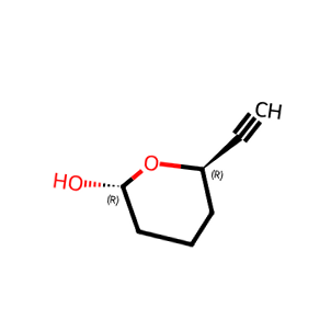 C#C[C@H]1CCC[C@H](O)O1